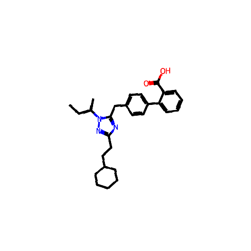 CCC(C)n1nc(CCC2CCCCC2)nc1Cc1ccc(-c2ccccc2C(=O)O)cc1